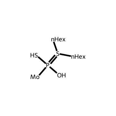 CCCCCCS(CCCCCC)=[P](O)(S)[Mo]